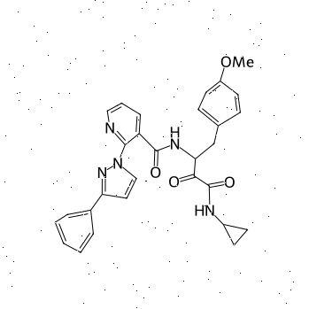 COc1ccc(CC(NC(=O)c2cccnc2-n2ccc(-c3ccccc3)n2)C(=O)C(=O)NC2CC2)cc1